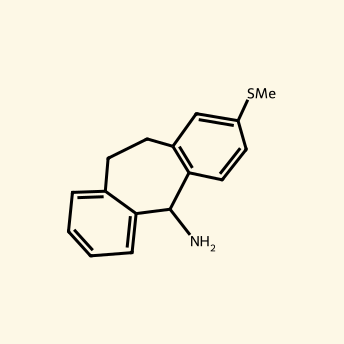 CSc1ccc2c(c1)CCc1ccccc1C2N